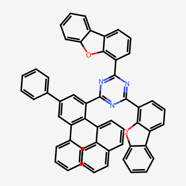 c1ccc(-c2cc(-c3ccccc3)c(-c3cccc4ccccc34)c(-c3nc(-c4cccc5c4oc4ccccc45)nc(-c4cccc5c4oc4ccccc45)n3)c2)cc1